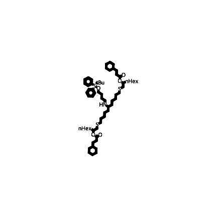 CCCCCCC(CSCCCCCC(CCCCCSCC(CCCCCC)OC(=O)CCC1CCCCC1)NCCCCO[Si](c1ccccc1)(c1ccccc1)C(C)(C)C)OC(=O)CCC1CCCCC1